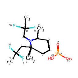 CC1CCCC(C)(CC(F)(F)C(F)(F)F)N1CC(F)(F)C(F)(F)F.O=[PH](O)O